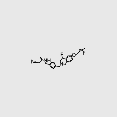 C=C(CC#N)NCc1ccc(CN2Cc3ccc(OCC4CC4(C)F)cc3C(F)C2)cc1